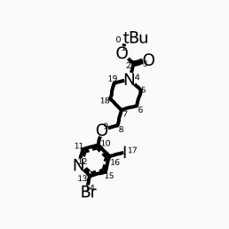 CC(C)(C)OC(=O)N1CCC(COc2cnc(Br)cc2I)CC1